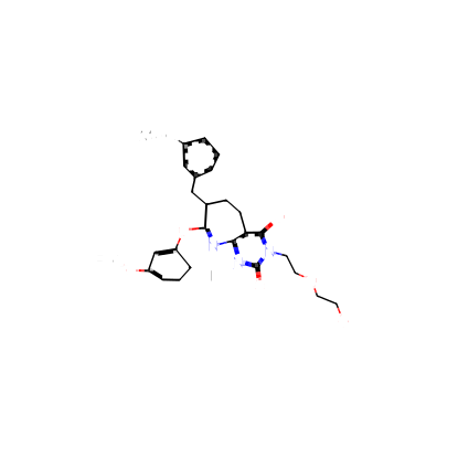 COc1cccc(CC2CCc3c(n(C)c(=O)n(CCOCCO)c3=O)N=C2OC2=CC(OC(F)(F)F)=CCC2)c1